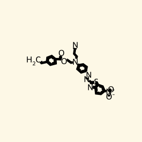 C=Cc1ccc(C(=O)OCCN(CCC#N)c2ccc(N=Nc3nc4ccc([N+](=O)[O-])cc4s3)cc2)cc1